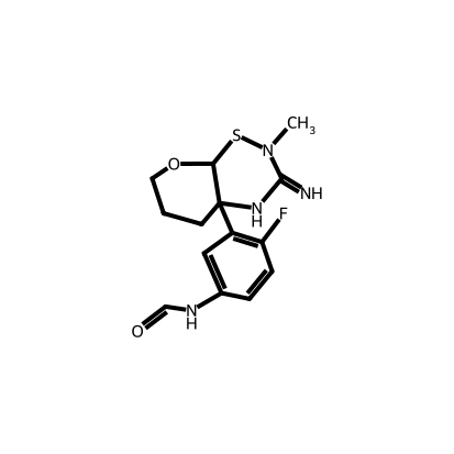 CN1SC2OCCCC2(c2cc(NC=O)ccc2F)NC1=N